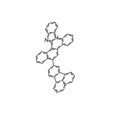 c1cc2c3c(cccc3c1)-c1cc(-c3cc4c5ccccc5n5c6ccccc6nc5c4c4ccccc34)ccc1-2